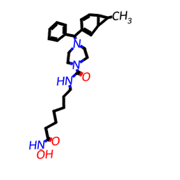 CC1C2C=CC(C(c3ccccc3)N3CCN(C(=O)NCCCCCCC(=O)NO)CC3)=CC12